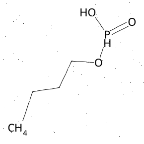 C.CCCCO[PH](=O)O